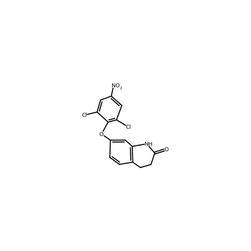 O=C1CCc2ccc(Oc3c(Cl)cc([N+](=O)[O-])cc3Cl)cc2N1